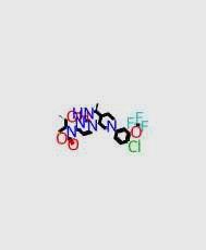 C[C@H](O)C1COC(=O)N1c1ccnc(N[C@@H](C)C2CCN(c3ccc(Cl)c(OC(F)(F)F)c3)CC2)n1